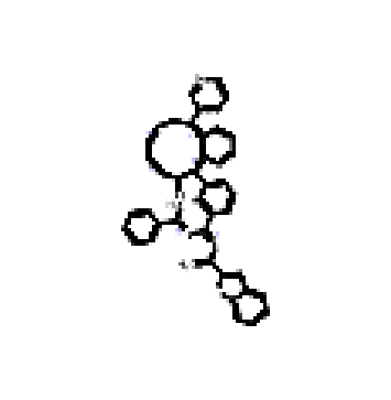 C=C(/N=C(\N=C(/C)c1ccccc1)c1cccc(/C2=c3\cccc\c3=C(/c3cccnc3)C/C=C\C=C/C2C)c1)c1cc2ccccc2s1